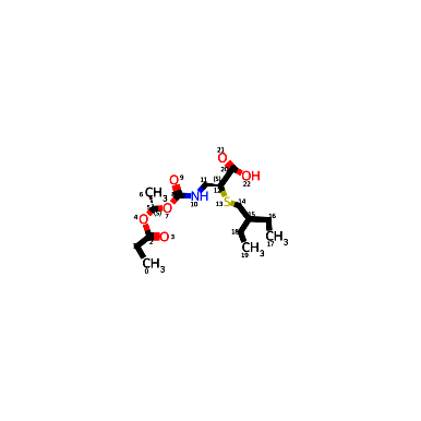 CCC(=O)O[C@H](C)OC(=O)NC[C@H](SCC(CC)CC)C(=O)O